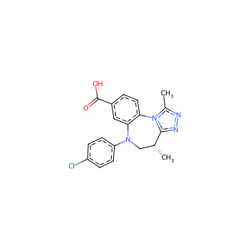 Cc1nnc2n1-c1ccc(C(=O)O)cc1N(c1ccc(Cl)cc1)C[C@H]2C